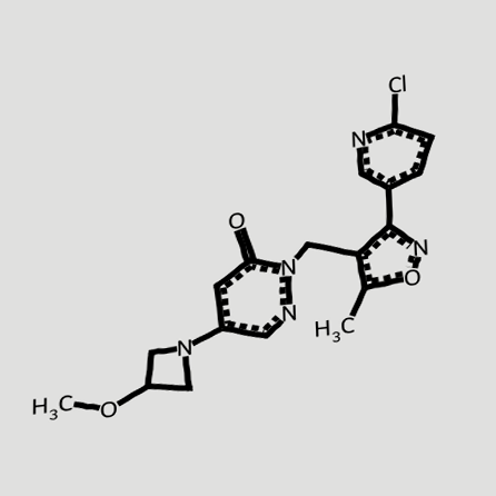 COC1CN(c2cnn(Cc3c(-c4ccc(Cl)nc4)noc3C)c(=O)c2)C1